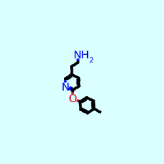 Cc1ccc(Oc2ccc(CCN)cn2)cc1